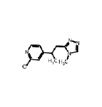 CC(Cc1nncn1C)c1ccnc(Cl)c1